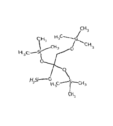 C[Si](C)(C)OCC(O[SiH3])(O[Si](C)(C)C)O[Si](C)(C)C